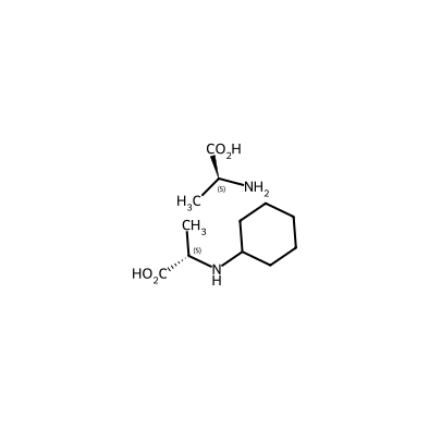 C[C@H](N)C(=O)O.C[C@H](NC1CCCCC1)C(=O)O